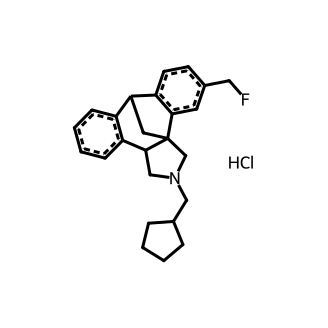 Cl.FCc1ccc2c(c1)C13CC2c2ccccc2C1CN(CC1CCCC1)C3